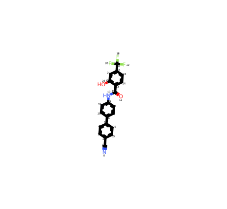 N#Cc1ccc(-c2ccc(NC(=O)c3ccc(C(F)(F)F)cc3O)cc2)cc1